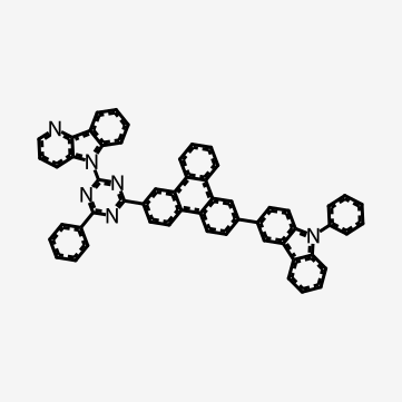 c1ccc(-c2nc(-c3ccc4c5ccc(-c6ccc7c(c6)c6ccccc6n7-c6ccccc6)cc5c5ccccc5c4c3)nc(-n3c4ccccc4c4ncccc43)n2)cc1